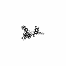 COc1cc(C(=O)NC[C@](O)(c2cc3c(c(-c4ccc5c(c4)OC(F)(F)O5)n2)OC[C@]3(C)C(N)=O)C2(F)CC2)cc2cc(Cl)c(C)nc12